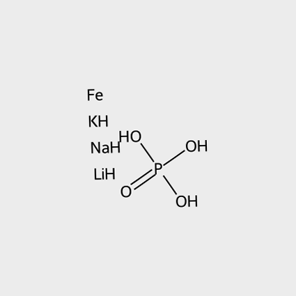 O=P(O)(O)O.[Fe].[KH].[LiH].[NaH]